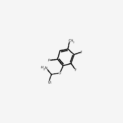 CCC(N)Oc1c(F)cc(C)c(F)c1F